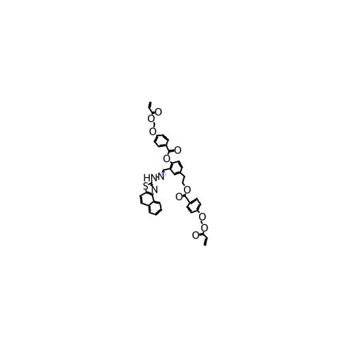 C=CC(=O)OCOc1ccc(C(=O)OCCc2ccc(OC(=O)c3ccc(OCOC(=O)C=C)cc3)c(/C=N/Nc3nc4c(ccc5ccccc54)s3)c2)cc1